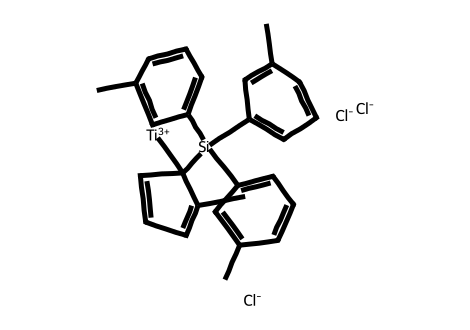 CC1=CC=C[C]1([Ti+3])[Si](c1cccc(C)c1)(c1cccc(C)c1)c1cccc(C)c1.[Cl-].[Cl-].[Cl-]